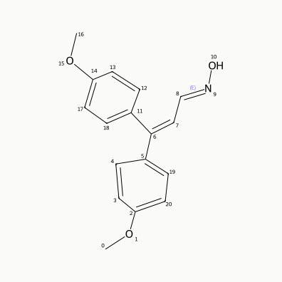 COc1ccc(C(=C/C=N/O)c2ccc(OC)cc2)cc1